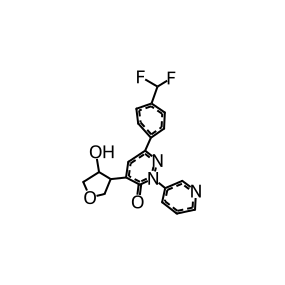 O=c1c(C2COCC2O)cc(-c2ccc(C(F)F)cc2)nn1-c1cccnc1